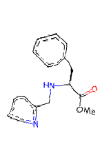 COC(=O)[C@H](Cc1ccccc1)NCc1ccccn1